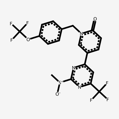 C[S+]([O-])c1nc(-c2ccc(=O)n(Cc3ccc(OC(F)(F)F)cc3)c2)cc(C(F)(F)F)n1